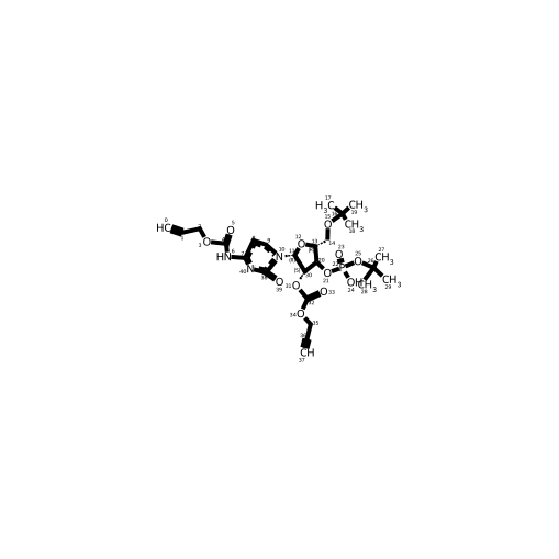 C#CCOC(=O)Nc1ccn([C@@H]2O[C@H](COC(C)(C)C)C(OP(=O)(O)OC(C)(C)C)[C@@H]2OC(=O)OCC#C)c(=O)n1